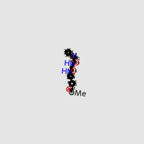 COC(=O)C[C@H]1CC[C@H](c2ccc(NC(=O)CCNC(=O)c3sc(-c4ccccc4)nc3C)cc2)CC1